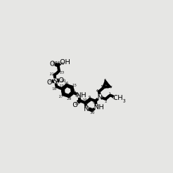 CCCN(CC1CC1)C1C=C(C(=O)Nc2ccc(CS(=O)(=O)CCC(=O)O)cc2)N=CN1